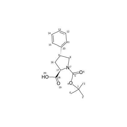 CC(C)(C)OC(=O)N1C[C@@H](c2ccccc2)C[C@@H]1C(=O)O